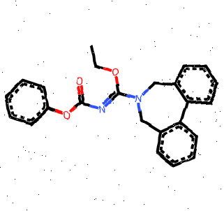 CCO/C(=N\C(=O)Oc1ccccc1)N1Cc2ccccc2-c2ccccc2C1